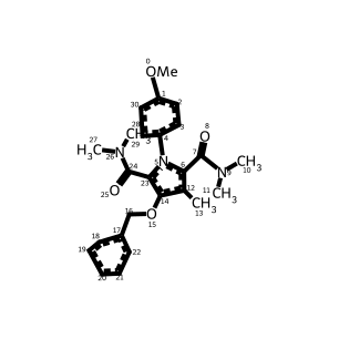 COc1ccc(-n2c(C(=O)N(C)C)c(C)c(OCc3ccccc3)c2C(=O)N(C)C)cc1